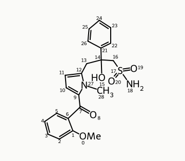 COc1ccccc1C(=O)c1ccc(CC(O)(CS(N)(=O)=O)c2ccccc2)n1C